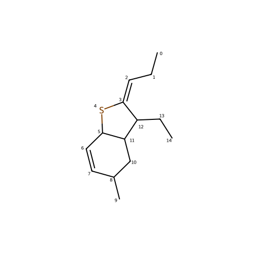 CC/C=C1/SC2C=CC(C)CC2C1CC